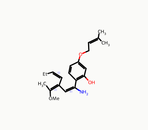 CC\C=C/C(/C=C(/N)c1ccc(OCC=C(C)C)cc1O)=C(\C)OC